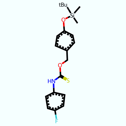 CC(C)(C)[Si](C)(C)Oc1ccc(COC(=S)Nc2ccc(F)cc2)cc1